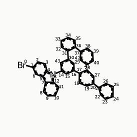 Brc1ccc2c(c1)c1ccccc1n2-c1cc(-c2ccc(-c3ccccc3)cc2)cc(-c2ccccc2-c2ccccc2)c1